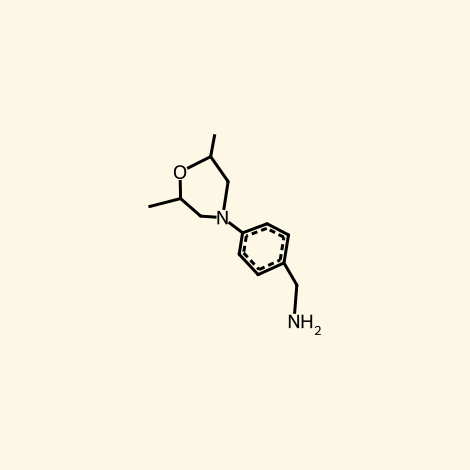 CC1CN(c2ccc(CN)cc2)CC(C)O1